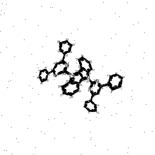 c1ccc(-c2cc(-c3ccccc3)nc(-n3c4ccccc4c4c3c3ccccc3n4-c3nc(-c4ccccc4)cc(-c4ccccc4)n3)n2)cc1